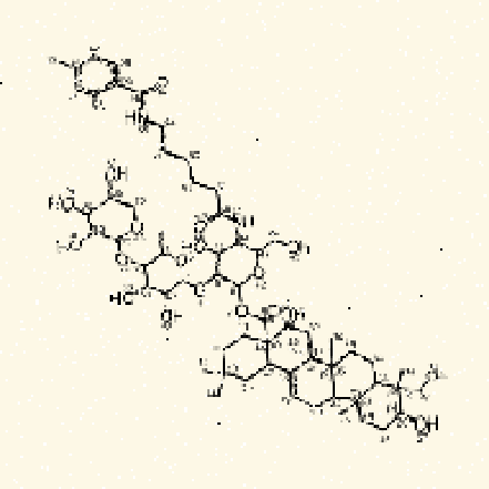 CC1OC(OC2C(OC(=O)[C@]34CCC(C)(C)CC3C3=CCC5[C@@]6(C)CC[C@H](O)[C@@](C)(CO)C6CC[C@@]5(C)[C@]3(C)C[C@H]4O)OC(CO)C(NC(=O)CCCCCNC(=O)c3ccc(I)cc3)C2O)C(O)C(O)C1OC1OCC(O)C(O)C1O